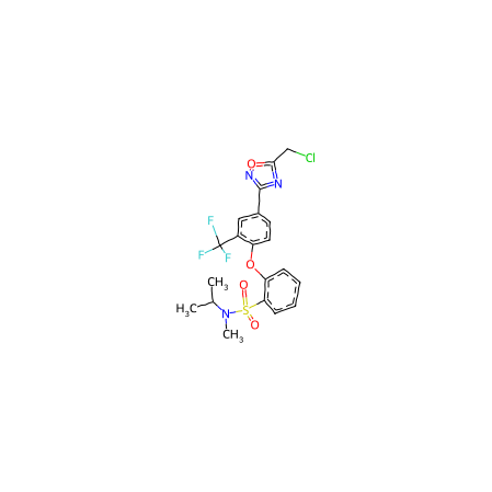 CC(C)N(C)S(=O)(=O)c1ccccc1Oc1ccc(-c2noc(CCl)n2)cc1C(F)(F)F